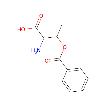 CC(OC(=O)c1ccccc1)C(N)C(=O)O